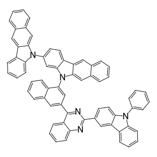 c1ccc(-n2c3ccccc3c3cc(-c4nc(-c5cc(-n6c7cc(-n8c9ccccc9c9cc%10ccccc%10cc98)ccc7c7cc8ccccc8cc76)c6ccccc6c5)c5ccccc5n4)ccc32)cc1